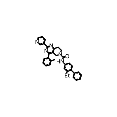 CCc1cc(NC(=O)N2CCc3nc(-c4cccnc4)nc(-c4ccccc4C)c3C2)ccc1-c1ccccc1